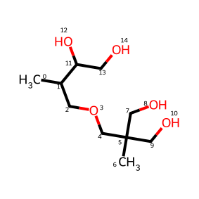 CC(COCC(C)(CO)CO)C(O)CO